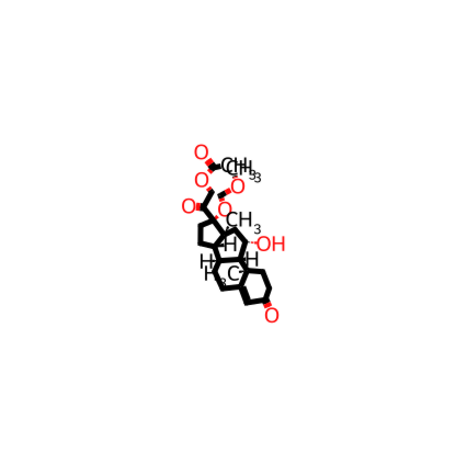 COCO[C@]1(C(=O)COC(C)=O)CC[C@H]2[C@@H]3CCC4=CC(=O)CC[C@]4(C)[C@H]3[C@@H](O)C[C@@]21C